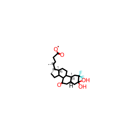 COC(=O)CC[C@@H](C)[C@H]1CCC2C3C(=O)C[C@@H]4CC(O)(O)C(F)(F)C[C@]4(C)C3CC[C@@]21C